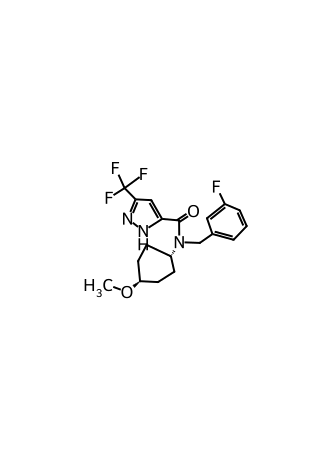 CO[C@H]1CC[C@H](N(Cc2cccc(F)c2)C(=O)c2cc(C(F)(F)F)n[nH]2)CC1